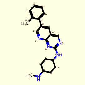 CNC1CCC(Nc2ncc3cc(-c4ccccc4C)cnc3n2)CC1